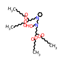 CCCCCCCC(=O)OCC(CCCCN(CCO)CCCN(CCCCC(COC(=O)CCCCCCC)COC(=O)CCCCCCC)C1CCCCC1)COC(=O)CCCCCCC